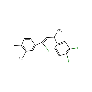 Cc1ccc(/C(F)=C/C(c2ccc(F)c(Cl)c2)C(F)(F)F)cc1C(F)(F)F